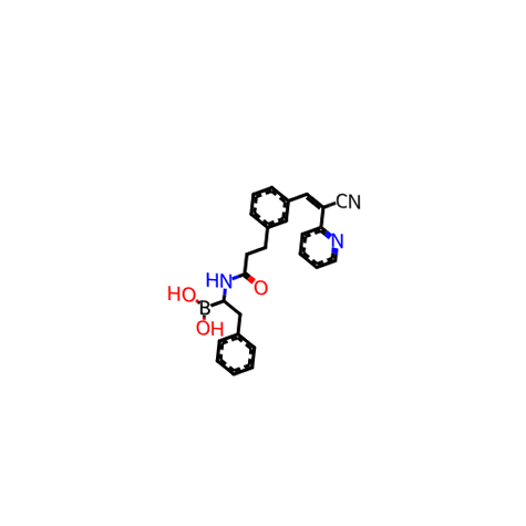 N#CC(=Cc1cccc(CCC(=O)NC(Cc2ccccc2)B(O)O)c1)c1ccccn1